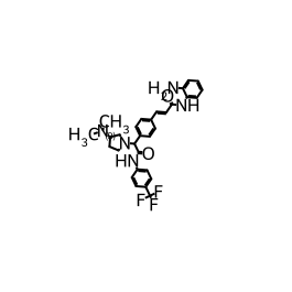 CN(C)[C@@H]1CCN(C(C(=O)Nc2ccc(C(F)(F)F)cc2)c2ccc(C=CC(=O)Nc3ccccc3N)cc2)C1